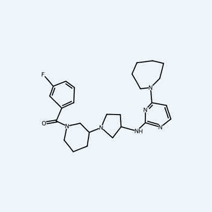 O=C(c1cccc(F)c1)N1CCCC(N2CCC(Nc3nccc(N4CCCCCC4)n3)C2)C1